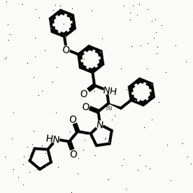 O=C(NC1CCCC1)C(=O)C1CCCN1C(=O)[C@H](Cc1ccccc1)NC(=O)c1cccc(Oc2ccccc2)c1